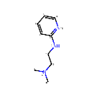 CN(C)CCNc1[c]cccn1